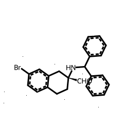 O=C[C@@]1(NC(c2ccccc2)c2ccccc2)CCc2ccc(Br)cc2C1